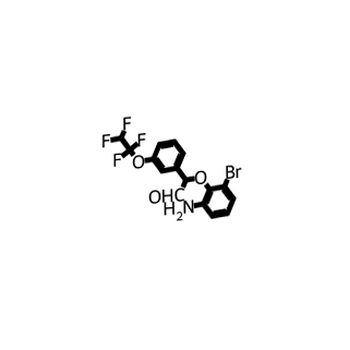 Nc1cccc(Br)c1OC(C=O)c1cccc(OC(F)(F)C(F)F)c1